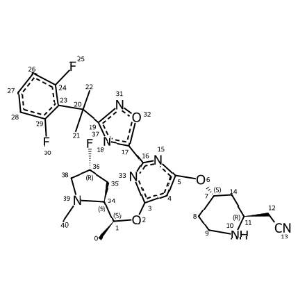 C[C@H](Oc1cc(O[C@H]2CCN[C@H](CC#N)C2)nc(-c2nc(C(C)(C)c3c(F)cccc3F)no2)n1)[C@@H]1C[C@@H](F)CN1C